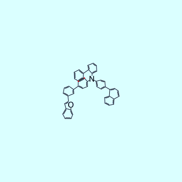 c1ccc(-c2ccccc2N(c2ccc(-c3cccc(-c4cc5ccccc5o4)c3)cc2)c2ccc(-c3cccc4ccccc34)cc2)cc1